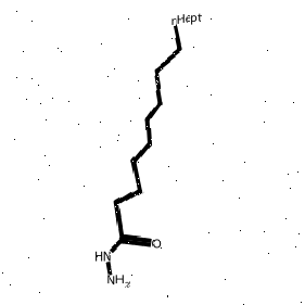 CCCCCCCCCCCCCCCC(=O)NN